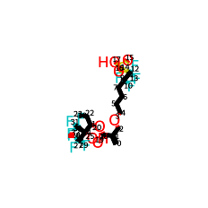 C=C(COCCCCC(F)(F)C(F)(F)S(=O)(=O)O)C(=O)OC(CC)C(O)(C(F)(F)F)C(F)(F)F